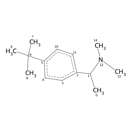 CC(c1ccc(C(C)(C)C)cc1)N(C)C